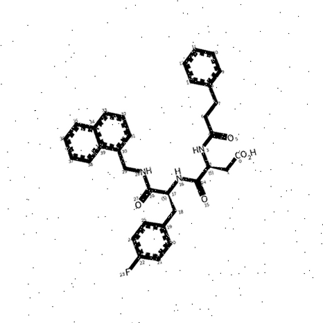 O=C(O)C[C@H](NC(=O)CCc1ccccc1)C(=O)N[C@@H](Cc1ccc(F)cc1)C(=O)NCc1cccc2ccccc12